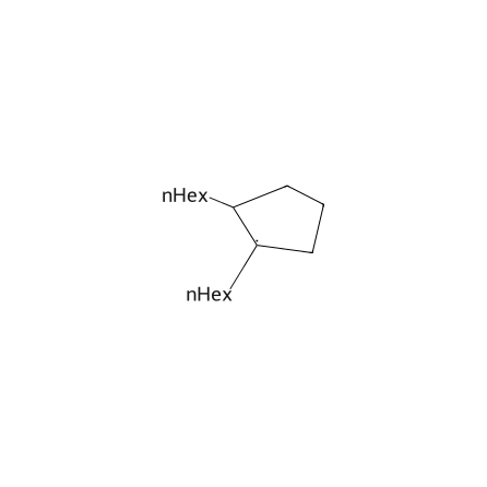 CCCCCC[C]1CCCC1CCCCCC